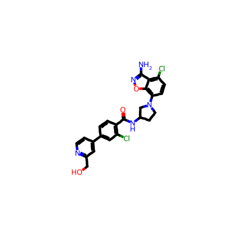 Nc1noc2c(N3CCC(NC(=O)c4ccc(-c5ccnc(CO)c5)cc4Cl)C3)ccc(Cl)c12